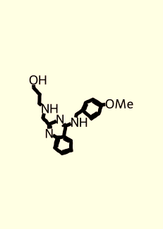 COc1ccc(CNc2nc(CNCCCO)nc3ccccc23)cc1